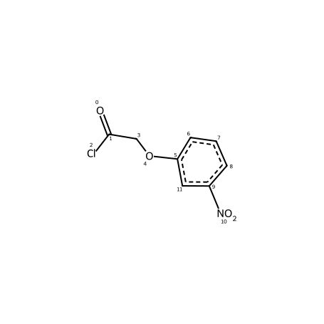 O=C(Cl)COc1cccc([N+](=O)[O-])c1